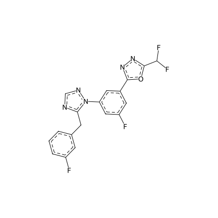 Fc1cccc(Cc2ncnn2-c2cc(F)cc(-c3nnc(C(F)F)o3)c2)c1